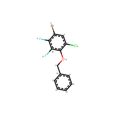 Fc1c(Br)cc(Cl)c(OCc2ccccc2)c1F